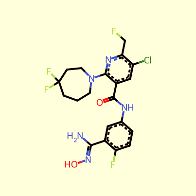 NC(=NO)c1cc(NC(=O)c2cc(Cl)c(CF)nc2N2CCCC(F)(F)CC2)ccc1F